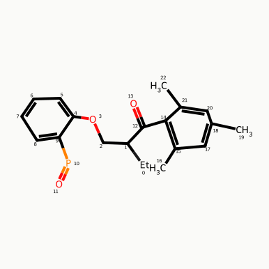 CCC(COc1ccccc1P=O)C(=O)c1c(C)cc(C)cc1C